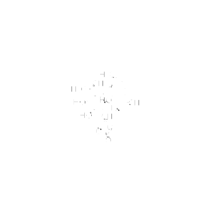 CC(C)C1CCC(C)C(O)C1O.CC1CCC(C(C)C)C(O)C1.O=C1OCCO1